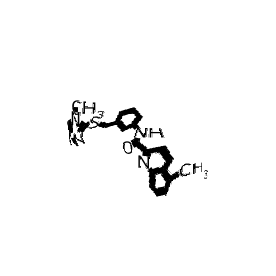 Cc1cccc2nc(C(=O)Nc3cccc(CSc4nncn4C)c3)ccc12